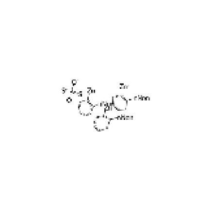 CCCCCCCCCc1cccc[c]1[Zn+].CCCCCCCCCc1cccc[c]1[Zn+].CCCCCCCCCc1cccc[c]1[Zn+].[O-]P([O-])(=S)[S-]